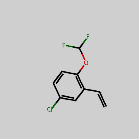 C=[C]c1cc(Cl)ccc1OC(F)F